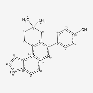 CC1(C)CCc2c(c(-c3ccc(O)cc3)nc3ccc4[nH]ccc4c23)C1